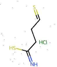 Cl.N=C(S)CCC=S